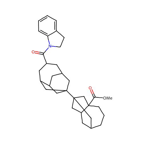 COC(=O)C12CCCC3CC1CC(C14CC5CC(C(=O)N6CCc7ccccc76)CC(C1)C(C5)C4)(C3)C2